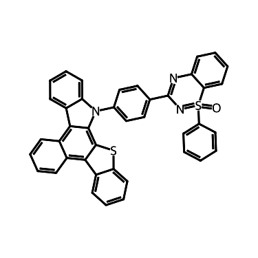 O=S1(c2ccccc2)=NC(c2ccc(-n3c4ccccc4c4c5ccccc5c5c6ccccc6sc5c43)cc2)=Nc2ccccc21